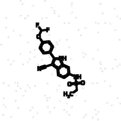 CCS(=O)(=O)Nc1ccc2c(C#N)c(-c3ccc(OC(F)F)cc3)[nH]c2c1